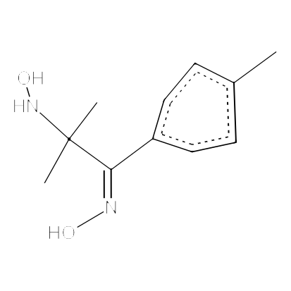 Cc1ccc(C(=NO)C(C)(C)NO)cc1